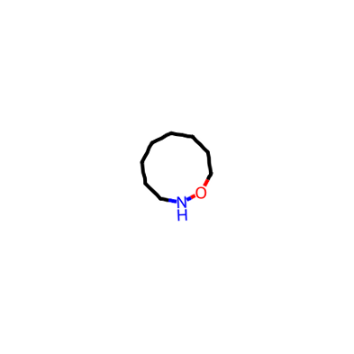 C1CCCCONCCC1